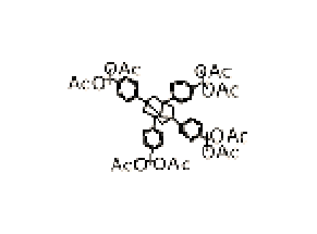 CC(=O)OI(OC(C)=O)c1ccc(C23CC4(c5ccc(I(OC(C)=O)OC(C)=O)cc5)CC(c5ccc(I(OC(C)=O)OC(C)=O)cc5)(C2)CC(c2ccc(I(OC(C)=O)OC(C)=O)cc2)(C3)C4)cc1